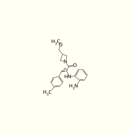 COCC1CN(C(=O)[C@H](Cc2ccc(C)cc2)Nc2ccccc2N)C1